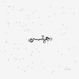 O=C(NCCCCCCn1ccnc1)c1ccc(Cl)s1